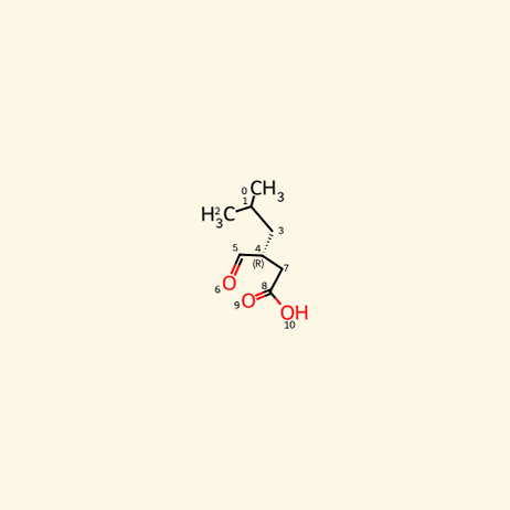 CC(C)C[C@@H](C=O)CC(=O)O